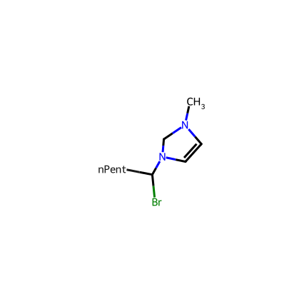 CCCCCC(Br)N1C=CN(C)C1